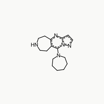 c1cc2nc3c(c(N4CCCCCC4)n2n1)CCNCC3